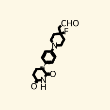 O=CCC1(F)CCN(c2ccc([C@H]3CCC(=O)NC3=O)cc2)CC1